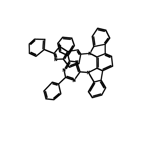 c1ccc(-c2nc(-c3ccccc3)nc(-n3c4ccccc4c4ccc5c6ccccc6n(-c6ccc7nc(-c8ccccc8)oc7c6)c5c43)n2)cc1